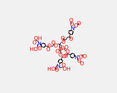 O=COCN(COC=O)c1ccc(C(=O)CCC(=O)OCC(COC(=O)COC(=O)c2ccc(N(COC=O)COC=O)cc2)(COC(=O)COC(=O)c2ccc(N(CC(=O)O)CC(=O)O)cc2)COC(=O)COC(=O)c2ccc(N(CC(=O)O)CC(=O)O)cc2)cc1